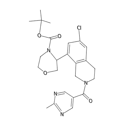 Cc1ncc(C(=O)N2CCc3cc(Cl)cc(C4COCCN4C(=O)OC(C)(C)C)c3C2)cn1